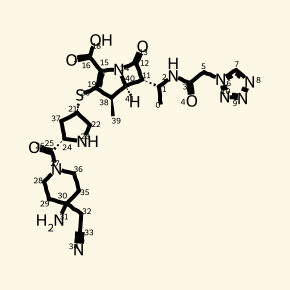 CC(NC(=O)Cn1cnnn1)[C@H]1C(=O)N2C(C(=O)O)=C(S[C@@H]3CN[C@H](C(=O)N4CCC(N)(CC#N)CC4)C3)[C@H](C)[C@H]12